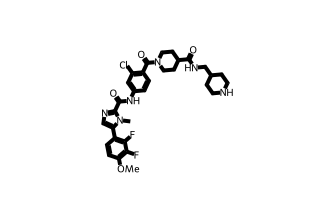 COc1ccc(-c2cnc(C(=O)Nc3ccc(C(=O)N4CCC(C(=O)NCC5CCNCC5)CC4)c(Cl)c3)n2C)c(F)c1F